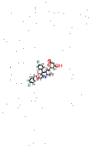 CC(C)c1nc(C(C)C)c(COCc2ccc(F)cc2)c(-c2ccc(F)cc2)c1/C=C/[C@@H]1C[C@@H](O)CC(=O)O1